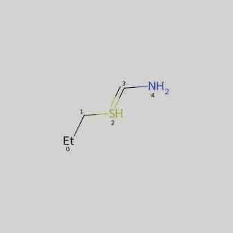 CCC[SH]=CN